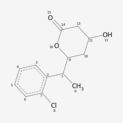 CC(c1ccccc1Cl)C1CC(O)CC(=O)O1